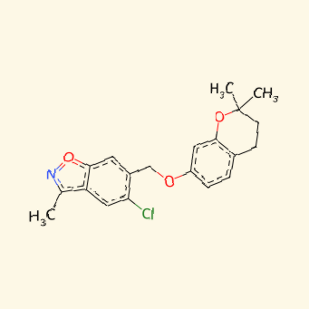 Cc1noc2cc(COc3ccc4c(c3)OC(C)(C)CC4)c(Cl)cc12